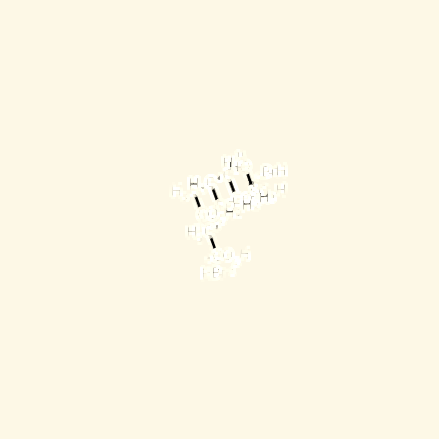 Br.Br.CC(=O)O.CC(=O)O.CC(=O)O.CC(=O)O.O=S(=O)(O)O